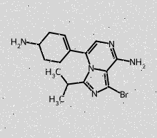 CC(C)c1nc(Br)c2c(N)ncc(C3=CCC(N)CC3)n12